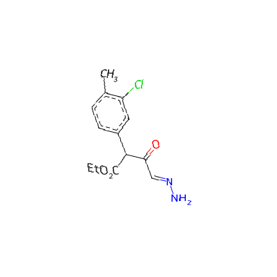 CCOC(=O)C(C(=O)C=NN)c1ccc(C)c(Cl)c1